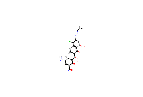 CC(C)CNCc1cc(O)c2c(c1Cl)C[C@H]1C[C@H]3[C@H](N(C)C)C(O)=C(C(N)=O)C(=O)[C@@]3(O)C(O)=C1C2=O